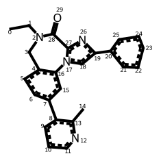 CCN1Cc2ccc(-c3cccnc3C)cc2-n2cc(-c3ccccc3)nc2C1=O